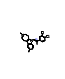 C/C(=C\n1c2c(c3cc(C)ccc31)CCN(C)CC2)c1ccc(Cl)c(Cl)c1